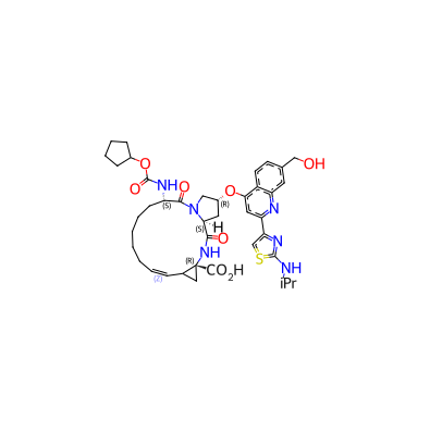 CC(C)Nc1nc(-c2cc(O[C@@H]3C[C@H]4C(=O)N[C@]5(C(=O)O)CC5/C=C\CCCCC[C@H](NC(=O)OC5CCCC5)C(=O)N4C3)c3ccc(CO)cc3n2)cs1